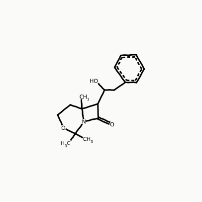 CC1(C)OCCC2(C)C(C(O)Cc3ccccc3)C(=O)N12